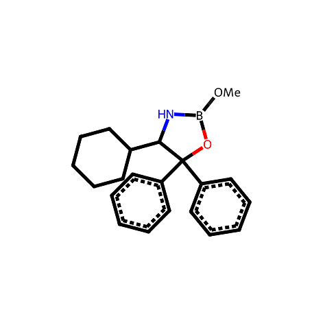 COB1NC(C2CCCCC2)C(c2ccccc2)(c2ccccc2)O1